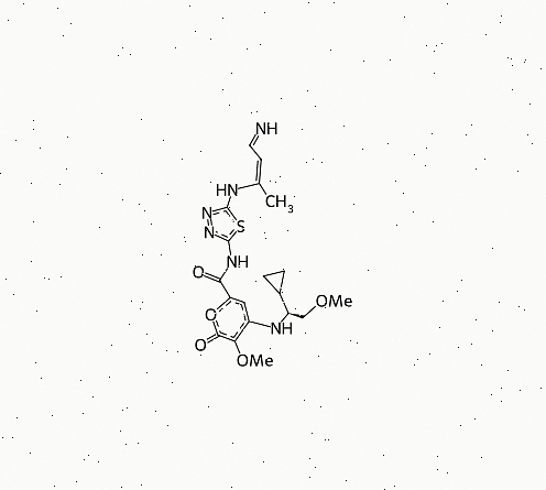 COC[C@@H](Nc1cc(C(=O)Nc2nnc(N/C(C)=C\C=N)s2)oc(=O)c1OC)C1CC1